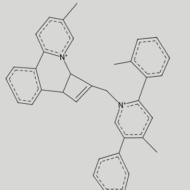 Cc1ccc2[n+](c1)C1C(C[n+]3cc(-c4ccccc4)c(C)cc3-c3ccccc3C)=CC1c1ccccc1-2